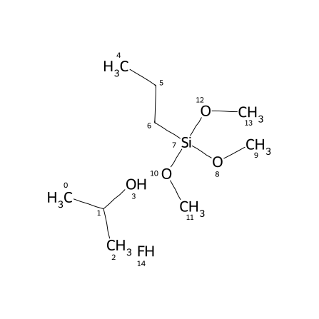 CC(C)O.CCC[Si](OC)(OC)OC.F